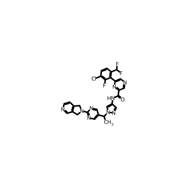 CC(c1cnc(N2Cc3ccncc3C2)nc1)n1cc(NC(=O)c2cncc(-c3c(C(F)F)ccc(Cl)c3F)n2)cn1